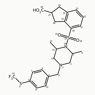 CC1CN(Cc2ccc(SC(F)(F)F)cc2)CC(C)N1S(=O)(=O)c1cccc2c1CC(C(=O)O)C2